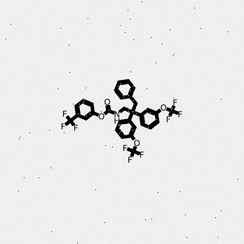 O=C(NCC(Cc1ccccc1)(c1cccc(OC(F)(F)F)c1)c1cccc(OC(F)(F)F)c1)Oc1cccc(C(F)(F)F)c1